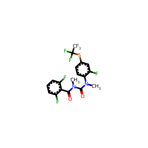 CN(C(=O)c1c(F)cccc1F)C(=O)N(C)c1ccc(SC(F)(F)C(F)(F)F)cc1F